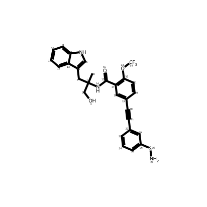 CC(CO)(Cc1c[nH]c2ccccc12)NC(=O)c1cc(C#Cc2cccc(SN)c2)ccc1OC(F)(F)F